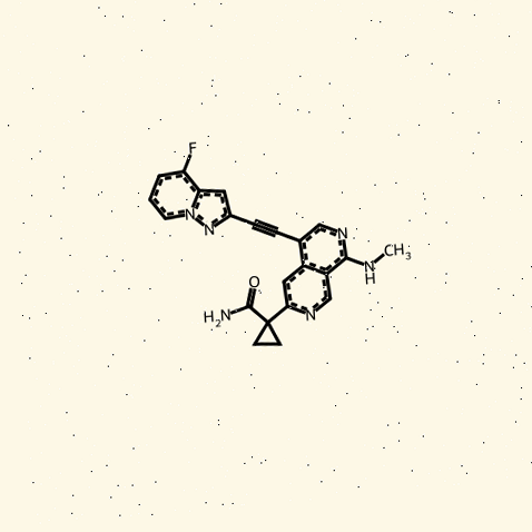 CNc1ncc(C#Cc2cc3c(F)cccn3n2)c2cc(C3(C(N)=O)CC3)ncc12